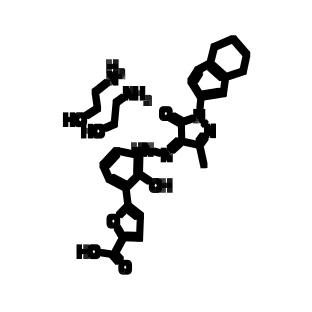 CC1=NN(c2ccc3c(c2)CCCC3)C(=O)/C1=N\Nc1cccc(-c2ccc(C(=O)O)o2)c1O.NCCO.NCCO